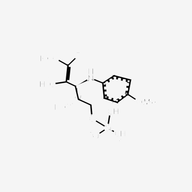 CCC(C(=O)O)=C(C)[C@@H](Nc1ccc(OC)cc1)[C@@H](C)CO[Si](C)(C)C(C)(C)C